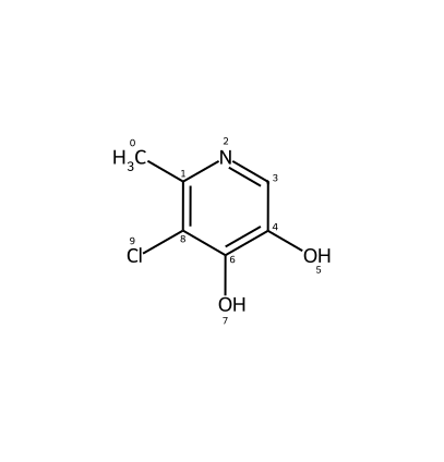 Cc1ncc(O)c(O)c1Cl